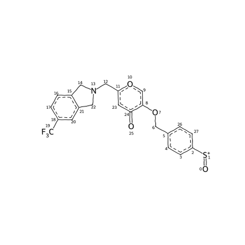 O=[S+]c1ccc(COc2coc(CN3Cc4ccc(C(F)(F)F)cc4C3)cc2=O)cc1